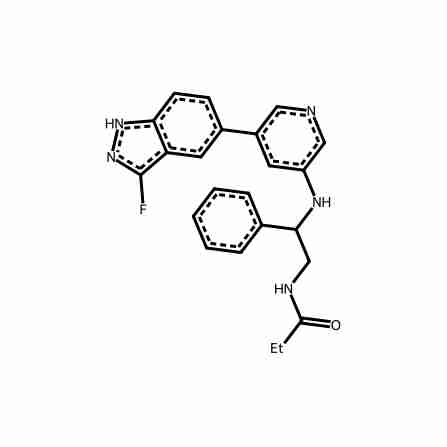 CCC(=O)NCC(Nc1cncc(-c2ccc3[nH]nc(F)c3c2)c1)c1ccccc1